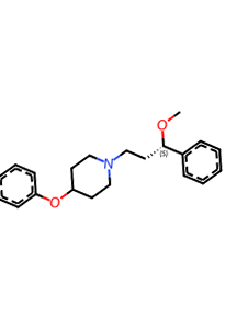 CO[C@@H](CCN1CCC(Oc2ccccc2)CC1)c1ccccc1